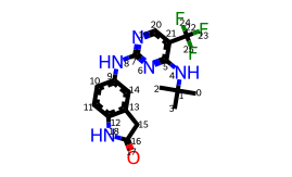 CC(C)(C)Nc1nc(Nc2ccc3c(c2)CC(=O)N3)ncc1C(F)(F)F